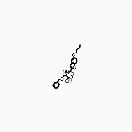 CCCCOc1ccc2oc(C(=O)NC(COCc3ccccc3)C(=O)O)cc2c1